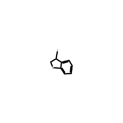 IC1CSc2ccccc21